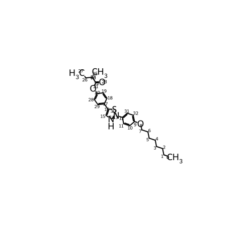 CCCCCCCCOc1ccc(N2NC=C(c3ccc(OC(=O)[C@@H](C)CC)cc3)S2)cc1